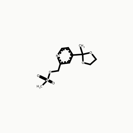 CC1(c2ccnc(COS(C)(=O)=O)c2)OCCO1